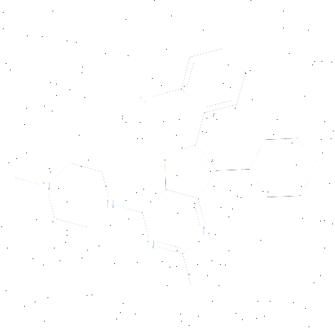 Cc1nc(N2CCN(C)CC2)c2sc(-c3ccccc3Cl)c(C3CCOCC3)c2n1